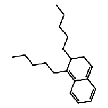 CCCCCC1=c2ccccc2=CCC1CCCCC